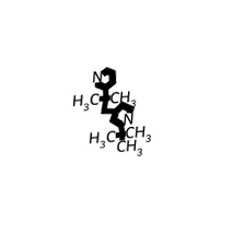 CC(C)(C)c1cc(CC(C)(C)c2cccnc2)ccn1